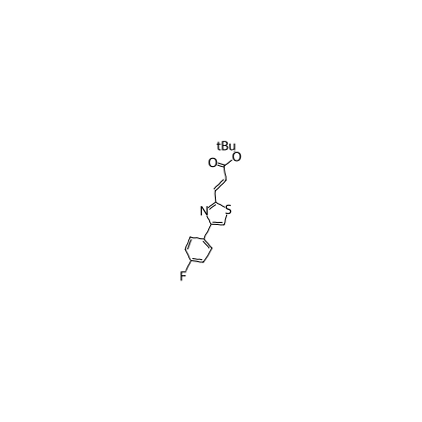 CC(C)(C)OC(=O)/C=C/c1nc(-c2ccc(F)cc2)cs1